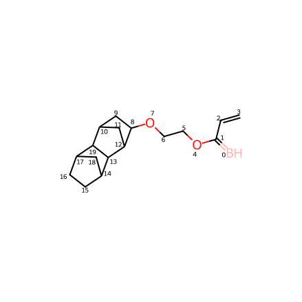 B=C(C=C)OCCOC1CC2CC1C1C3CCC(C3)C21